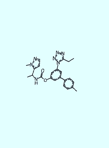 CCc1nnnn1-c1cc(OC(=O)NC(C)c2ccnn2C)cc(-c2ccc(C)cc2)c1